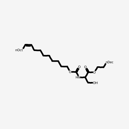 CCCCCCCC/C=C\CCCCCCCCOC(=O)NC(CO)C(=O)OCCCCCCCCCCCC